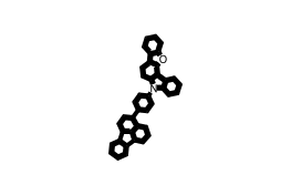 c1ccc2c(c1)-c1cccc3c(-c4ccc(-n5c6ccccc6c6c7oc8ccccc8c7ccc65)cc4)ccc-2c13